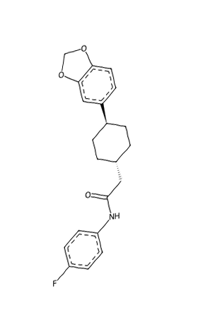 O=C(C[C@H]1CC[C@H](c2ccc3c(c2)OCO3)CC1)Nc1ccc(F)cc1